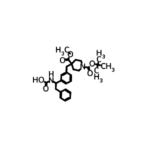 COC(=O)C1(Cc2cccc(C(Cc3ccccc3)NC(=O)O)c2)CCN(C(=O)OC(C)(C)C)CC1